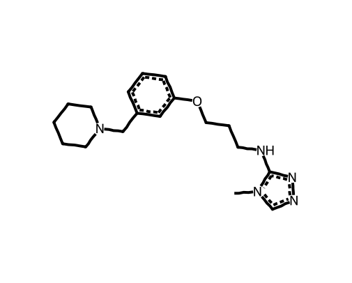 Cn1cnnc1NCCCOc1cccc(CN2CCCCC2)c1